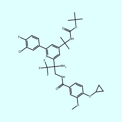 COc1cc(C(=O)NCC(N)(c2cc(C(C)(C)NC(=O)OC(C)(C)C)cc(-c3ccc(F)c(Cl)c3)n2)C(F)(F)F)ccc1OC1CC1